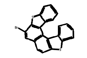 Brc1cc2ccc3sc4ccccc4c3c2c2c1sc1ccccc12